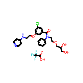 O=C(O)C(F)(F)F.O=C(c1cc(Cl)cc(OCCNc2ccncc2)c1)N(CCOCC(O)CO)c1ccccc1